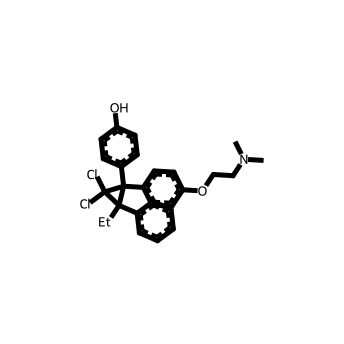 CCC1(c2ccccc2)C(Cl)(Cl)C1(c1ccc(O)cc1)c1ccc(OCCN(C)C)cc1